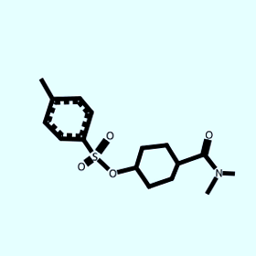 Cc1ccc(S(=O)(=O)OC2CCC(C(=O)N(C)C)CC2)cc1